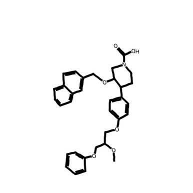 COC(COc1ccccc1)COc1ccc(C2CCN(C(=O)O)CC2OCc2ccc3ccccc3c2)cc1